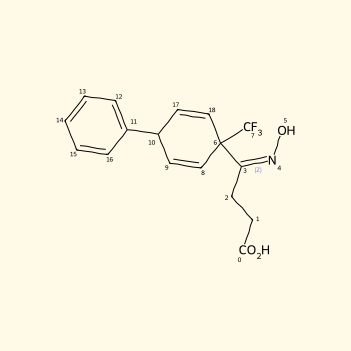 O=C(O)CC/C(=N/O)C1(C(F)(F)F)C=CC(c2ccccc2)C=C1